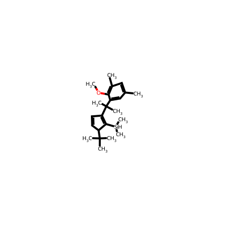 COc1c(C)cc(C)cc1C(C)(C)C1=C([SiH](C)C)C(C(C)(C)C)C=C1